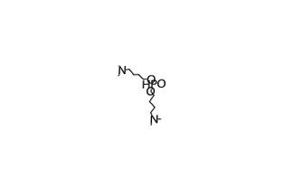 CN(C)CCCCO[PH](=O)OCCCCN(C)C